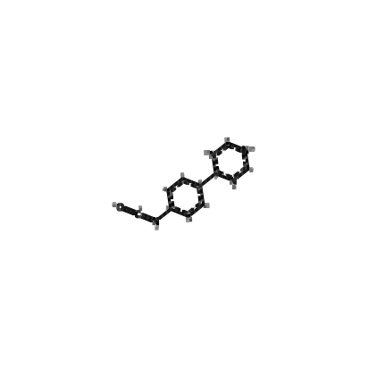 O=C=Nc1ccc(-c2ncncn2)cc1